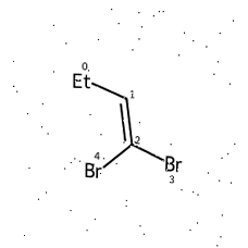 CCC=C(Br)Br